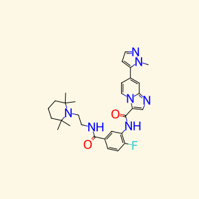 Cn1nccc1-c1ccn2c(C(=O)Nc3cc(C(=O)NCCN4C(C)(C)CCCC4(C)C)ccc3F)cnc2c1